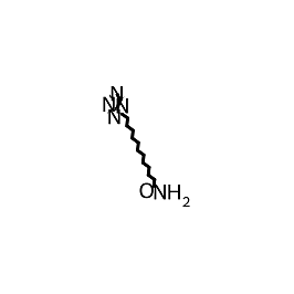 NC(=O)CCCCCCCCCCCC1N2CN3CN(C2)CN1C3